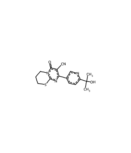 CC(C)(O)c1ccc(-c2nc3n(c(=O)c2C#N)CCCS3)cn1